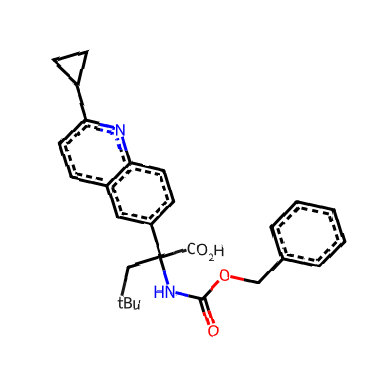 CC(C)(C)CC(NC(=O)OCc1ccccc1)(C(=O)O)c1ccc2nc(C3CC3)ccc2c1